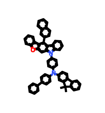 CC1(C)c2ccccc2-c2ccc(N(c3ccc(-c4ccccc4)cc3)c3ccc(-n4c5ccccc5c5c(-c6ccc7ccccc7c6)c6c(cc54)oc4ccccc46)cc3)cc21